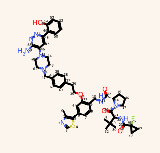 Cc1ncsc1-c1ccc(CNC(=O)[C@@H]2CCCN2C(=O)C(NC(=O)C2(F)CC2)C(C)(C)C)c(OCCc2ccc(CN3CCN(c4cc(-c5ccccc5O)nnc4N)CC3)cc2)c1